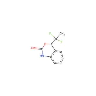 CC(F)(F)C1OC(=O)Nc2ccccc21